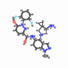 Cn1ncc2c(N3C[C@H](N)C4(CC4)C3)c(NC(=O)c3ccc(=O)n(-c4c(F)cccc4F)n3)ccc21